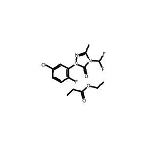 CCOC(=O)CC.Cc1nn(-c2cc(Cl)ccc2F)c(=O)n1C(F)F